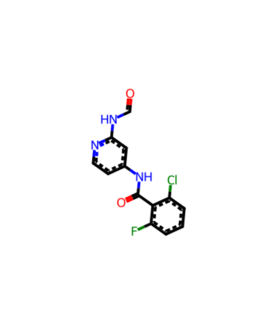 O=CNc1cc(NC(=O)c2c(F)cccc2Cl)ccn1